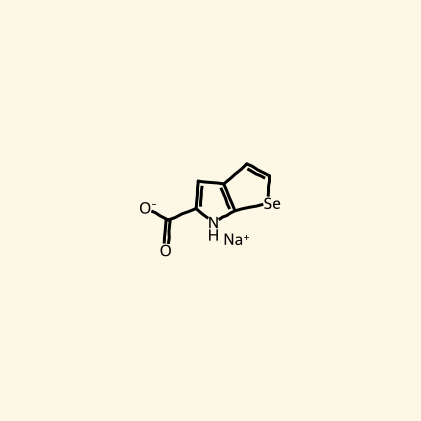 O=C([O-])c1cc2cc[se]c2[nH]1.[Na+]